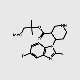 COCC(C)(C)OC(=O)C1CNCCC1n1c(C)nc2cc(F)ccc21